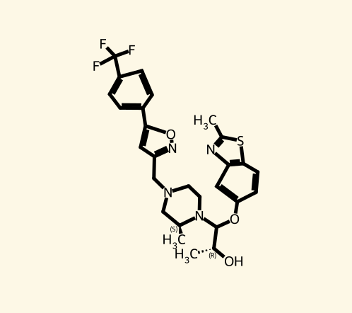 Cc1nc2cc(OC([C@@H](C)O)N3CCN(Cc4cc(-c5ccc(C(F)(F)F)cc5)on4)C[C@@H]3C)ccc2s1